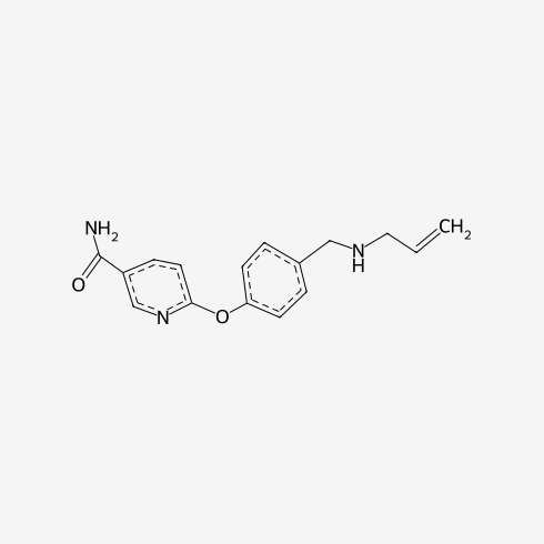 C=CCNCc1ccc(Oc2ccc(C(N)=O)cn2)cc1